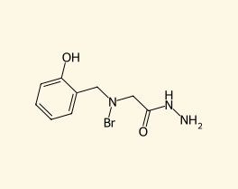 NNC(=O)CN(Br)Cc1ccccc1O